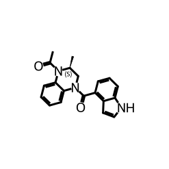 CC(=O)N1c2ccccc2N(C(=O)c2cccc3[nH]ccc23)C[C@@H]1C